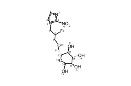 O=[N+]([O-])c1nccn1CC(F)COC[C@H]1OC(O)[C@H](O)[C@@H](O)[C@@H]1O